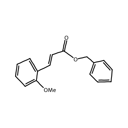 COc1ccccc1C=CC(=O)OCc1ccccc1